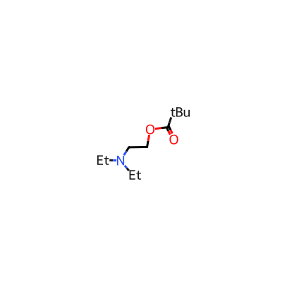 CCN(CC)CCOC(=O)C(C)(C)C